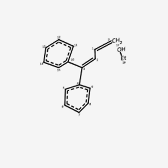 C=CC=C(c1ccccc1)c1ccccc1.CCO